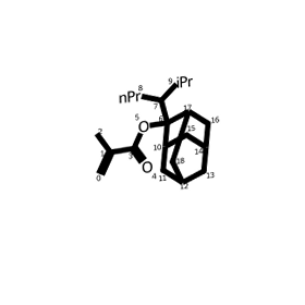 C=C(C)C(=O)OC1(C(CCC)C(C)C)C2CC3CC(C2)CC1C3